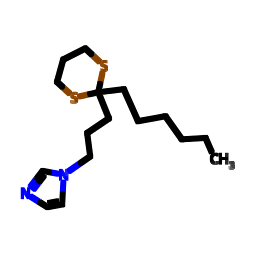 CCCCCCC1(CCCn2ccnc2)SCCCS1